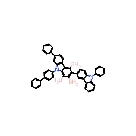 Bc1c(-c2ccc3c(c2)c2ccccc2n3-c2ccccc2)c(B)c2c3ccc(-c4ccccc4)cc3n(-c3ccc(-c4ccccc4)cc3)c2c1B